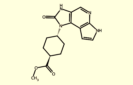 COC(=O)[C@H]1CC[C@H](n2c(=O)[nH]c3cnc4[nH]ccc4c32)CC1